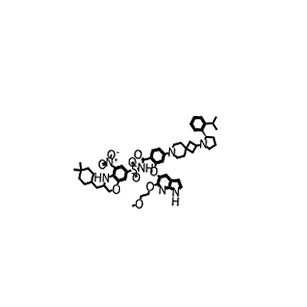 COCCOc1nc2[nH]ccc2cc1Oc1cc(N2CCC3(CC2)CC(N2CCC[C@@H]2c2ccccc2C(C)C)C3)ccc1C(=O)NS(=O)(=O)c1cc2c(c([N+](=O)[O-])c1)NC(CC1CCC(C)(C)CC1)CO2